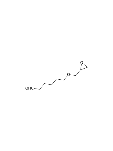 O=CCCCCCOCC1CO1